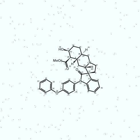 COC(=O)[C@@H]1[C@H]2C[C@@H]3N(CC[C@@]34C(=O)N(c3ccc(Oc5ccccc5)cc3)c3ccccc34)C[C@@H]2CC[C@@H]1O